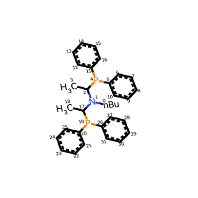 CCCCN(C(C)P(c1ccccc1)c1ccccc1)C(C)P(c1ccccc1)c1ccccc1